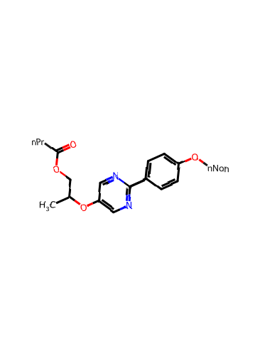 CCCCCCCCCOc1ccc(-c2ncc(OC(C)COC(=O)CCC)cn2)cc1